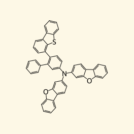 c1ccc(-c2cc(N(c3ccc4c(c3)oc3ccccc34)c3ccc4c(c3)oc3ccccc34)ccc2-c2cccc3c2sc2ccccc23)cc1